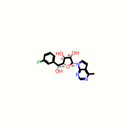 Cc1ncnc2c1ccn2[C@@H]1O[C@H]([C@H](O)c2cccc(F)c2)[C@@H](O)[C@H]1O